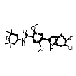 COc1cc(-c2cc3cc(Cl)c(Cl)cc3[nH]2)c(OC)cc1C(=O)NC1CC(C)(C)NC(C)(C)C1